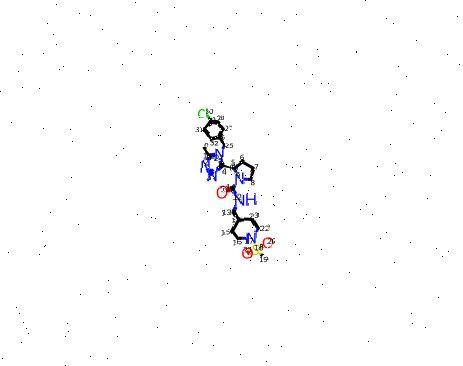 Cc1nnc([C@H]2CCCN2C(=O)NCC2CCN(S(C)(=O)=O)CC2)n1Cc1ccc(Cl)cc1